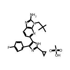 CC(C)(C)Cn1c(N)nc2ccc(-c3[nH]c(C4CC4)nc3-c3ccc(F)cc3)nc21.CS(=O)(=O)O